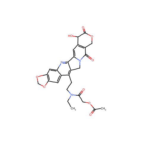 CCN(CCc1c2c(nc3cc4c(cc13)OCO4)-c1cc3c(c(=O)n1C2)COC(=O)C3O)C(=O)COC(C)=O